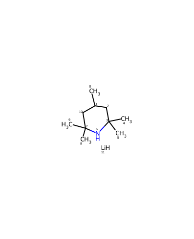 CC1CC(C)(C)NC(C)(C)C1.[LiH]